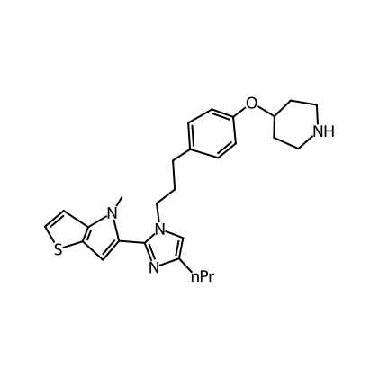 CCCc1cn(CCCc2ccc(OC3CCNCC3)cc2)c(-c2cc3sccc3n2C)n1